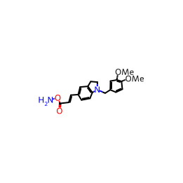 COc1ccc(CN2CCc3cc(/C=C/C(=O)ON)ccc32)cc1OC